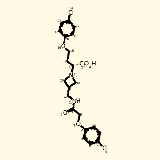 O=C(COc1ccc(Cl)cc1)NCC1CN([C@H](CCOc2ccc(Cl)cc2)C(=O)O)C1